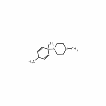 [CH2]C1C=CC(C)(N2CCN(C)CC2)C=C1